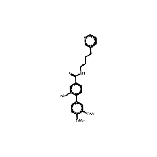 CCCc1cc(C(=S)NCCCCc2cccnc2)ccc1-c1ccc(OC)c(OC)c1